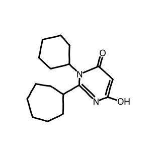 O=c1cc(O)nc(C2CCCCCC2)n1C1CCCCC1